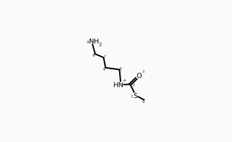 CSC(=O)NCCCCN